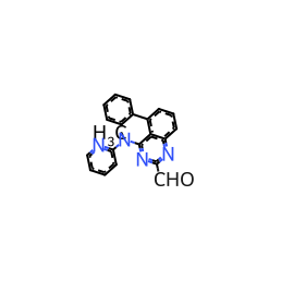 CN(c1ccccn1)c1nc(C=O)nc2cccc(-c3ccccc3)c12